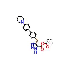 O=C(OC(=O)C(F)(F)F)c1[nH]nnc1Sc1ccc(-c2ccc(N3CCCCC3)cc2)cc1